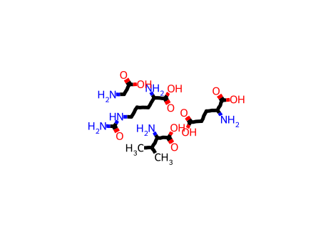 CC(C)C(N)C(=O)O.NC(=O)NCCCC(N)C(=O)O.NC(CCC(=O)O)C(=O)O.NCC(=O)O